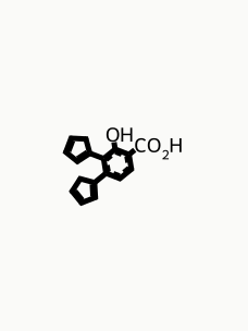 O=C(O)c1ccc(C2=CC=CC2)c(C2=CC=CC2)c1O